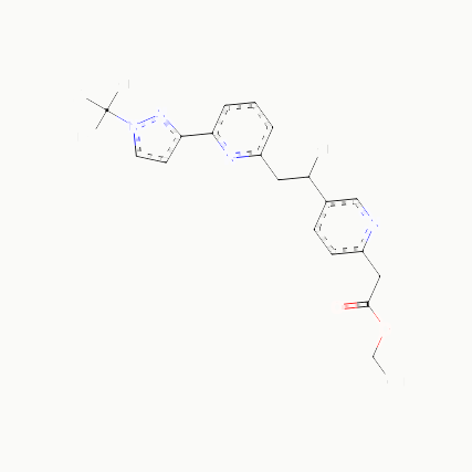 CCOC(=O)Cc1ccc(C(C)Cc2cccc(-c3ccn(C(C)(C)C)n3)n2)cn1